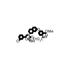 CCOC(=O)Nc1ccc(Oc2ccc3c(c2)C[C@@H](N(C[C@@H](O)c2cccc(Cl)c2)C(=O)OC(C)(C)C)CC3)cc1C(=O)OC